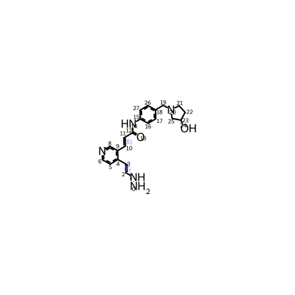 NN/C=C/c1ccncc1/C=C/C(=O)Nc1ccc(CN2CCC(O)C2)cc1